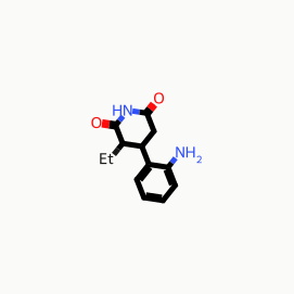 CCC1C(=O)NC(=O)CC1c1ccccc1N